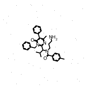 Cc1ccc(C(=O)N(CCCN)C(c2nc(C)c(-c3ccccc3)c(=O)n2Cc2ccccc2)C(C)C)cc1